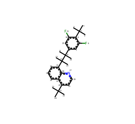 CC(C)(C)c1c(F)cc(C(C)(C)C(C)(C)c2cccc3c(C(C)(C)C)ccnc23)cc1F